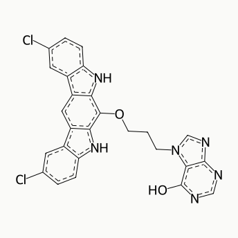 Oc1ncnc2ncn(CCCOc3c4[nH]c5ccc(Cl)cc5c4cc4c3[nH]c3ccc(Cl)cc34)c12